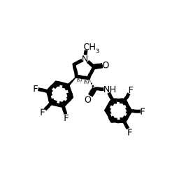 CN1C[C@H](c2cc(F)c(F)c(F)c2)[C@@H](C(=O)Nc2ccc(F)c(F)c2F)C1=O